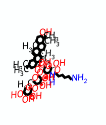 C[C@H]1O[C@@H](OC2C(O)[C@@H](NC(=O)CCCCCN)[C@@H](CO)O[C@H]2OC(=O)[C@]23CCC(C)(C)CC2C2=CCC4C5(C)CC[C@H](O)C(C)(C)C5CC[C@@]4(C)[C@]2(C)C[C@H]3O)C(O)C(O)[C@H]1O[C@@H]1OC[C@@H](O)C(O)C1O